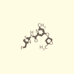 Cc1cc(O[C@H]2CO[C@H](C)C2)cc(C(=O)Nc2nc(CF)cs2)n1